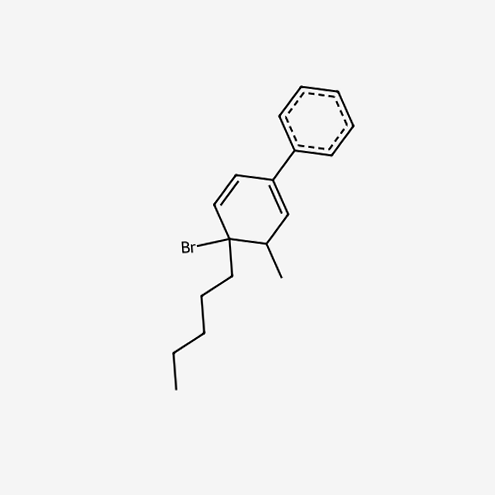 CCCCCC1(Br)C=CC(c2ccccc2)=CC1C